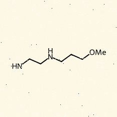 COCCCNCC[NH]